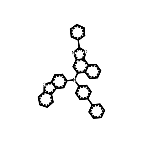 c1ccc(-c2ccc(N(c3ccc4oc5ccccc5c4c3)c3cc4nc(-c5ccccc5)oc4c4ccccc34)cc2)cc1